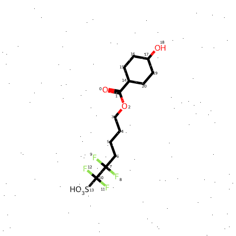 O=C(OCCCCC(F)(F)C(F)(F)S(=O)(=O)O)C1CCC(O)CC1